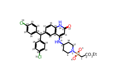 CCOC(=O)CS(=O)(=O)N1CCC(Nc2cc(=O)[nH]c3ccc(C(c4ccc(Cl)cc4)c4ccc(Cl)cc4)cc23)CC1